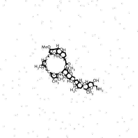 C=C1C[C@@H]2CC[C@]34C[C@@H](OC)C(O3)[C@H]3C[C@@H](O4)[C@H]4O[C@H](CC[C@@H]4O3)CC(=O)O[C@@H]3[C@@H](C)[C@@H]4OC5C[C@]6(C[C@@H]7O[C@]8(C[C@H](C)[C@@H]9O[C@H](CN)[C@H](O)C[C@@H]9O8)C[C@H](C)[C@@H]7O6)O[C@@H]5C[C@@H]4O[C@H]3C[C@H]3O[C@@H](CC[C@@H]1O2)C[C@@H](C)C3=C